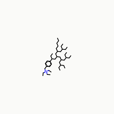 CCCCCC(CC(CC)CC)CC(CC(CC(CC)CC)CC(CC)CC)CC(CC)c1ccc(C[N+](CC)(CC)CC)cc1